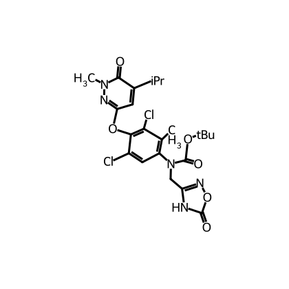 Cc1c(N(Cc2noc(=O)[nH]2)C(=O)OC(C)(C)C)cc(Cl)c(Oc2cc(C(C)C)c(=O)n(C)n2)c1Cl